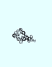 O=C(O)c1cn(-c2ccc(N3CCC3=O)nc2)c2nc(N3CCC[C@@H]3COc3ncccc3Cl)c(Cl)cc2c1=O